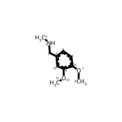 CNCc1ccc(OC)c(OC)c1